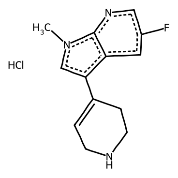 Cl.Cn1cc(C2=CCNCC2)c2cc(F)cnc21